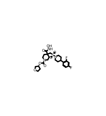 O=C(O[C@H]1CCOC1)N1CCC(CS(=O)(=O)N2CCC(c3ccc(F)cc3F)CC2)(C(=O)NO)CC1